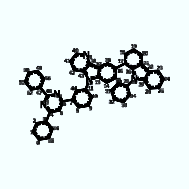 c1ccc(-c2cc(-c3cccc(-n4c5ccc(-c6cccc7c8ccccc8n(-c8ccccc8)c67)cc5c5ncccc54)c3)nc(-c3ccccc3)n2)cc1